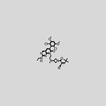 CCNc1ncc2cc(-c3c(Cl)c(OC)cc(OC)c3Cl)c(=O)n(CCN(C)C3CN(C(=O)/C(C#N)=C\C(C)(C)C)C3)c2n1